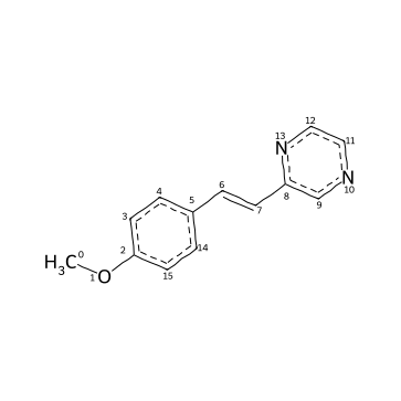 COc1ccc(C=Cc2cnccn2)cc1